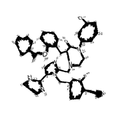 N#Cc1ccc(Cn2c(-c3ncc[nH]3)cnc2CN2CCN(c3cccc(Cl)c3)C(=O)C2Cc2ccccc2OCc2ccccc2)cc1F